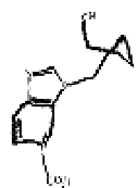 N#CCC1(Cn2cnc3ccc(C(=O)O)cc32)CC1